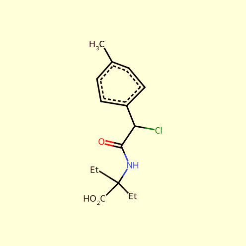 CCC(CC)(NC(=O)C(Cl)c1ccc(C)cc1)C(=O)O